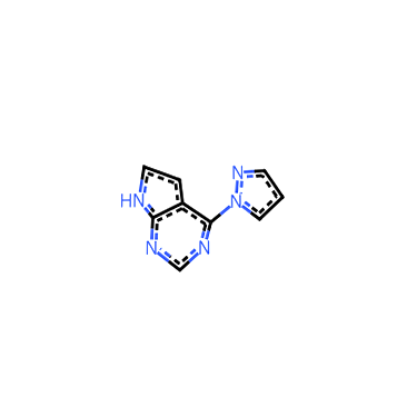 c1cnn(-c2ncnc3[nH]ccc23)c1